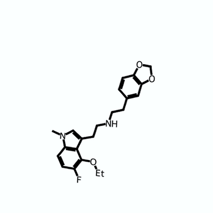 CCOc1c(F)ccc2c1c(CCNCCc1ccc3c(c1)OCO3)cn2C